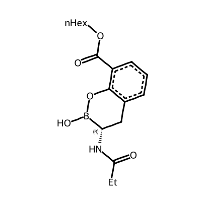 CCCCCCOC(=O)c1cccc2c1OB(O)[C@@H](NC(=O)CC)C2